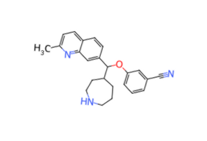 Cc1ccc2ccc(C(Oc3cccc(C#N)c3)C3CCCNCC3)cc2n1